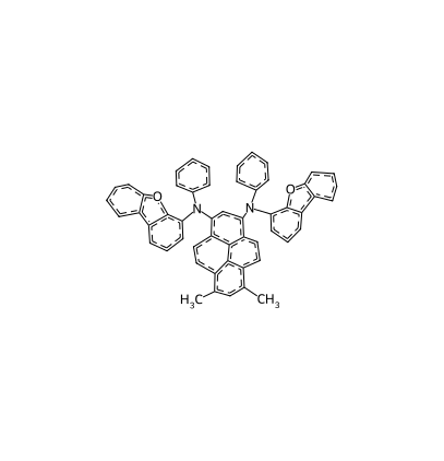 Cc1cc(C)c2ccc3c(N(c4ccccc4)c4cccc5c4oc4ccccc45)cc(N(c4ccccc4)c4cccc5c4oc4ccccc45)c4ccc1c2c43